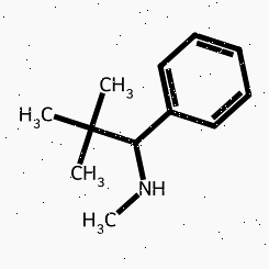 CNC(c1ccccc1)C(C)(C)C